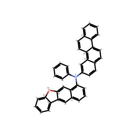 c1ccc(N(c2ccc3ccc4c5ccccc5ccc4c3c2)c2cccc3cc4c(cc23)oc2ccccc24)cc1